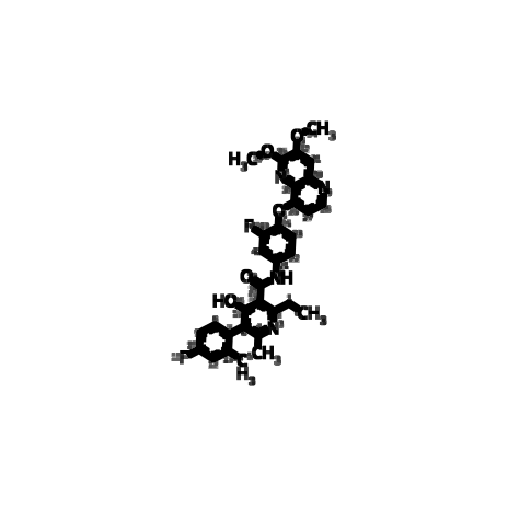 CCc1nc(C)c(-c2ccc(F)cc2C)c(O)c1C(=O)Nc1ccc(Oc2ccnc3cc(OC)c(OC)nc23)c(F)c1